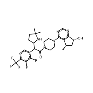 C[C@@H]1C[C@@H](O)c2ncnc(N3CCN(C(=O)C(c4ccc(C(F)(F)F)c(F)c4F)C4CCC(C)(C)N4)CC3)c21